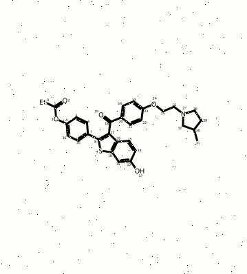 CCC(=O)Oc1ccc(-c2sc3cc(O)ccc3c2C(=O)c2ccc(OCCN3CCC(C)C3)cc2)cc1